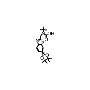 CC(C)(C)N(Cc1nc2ccc(B3OC(C)(C)C(C)(C)O3)cc2s1)C(=O)O